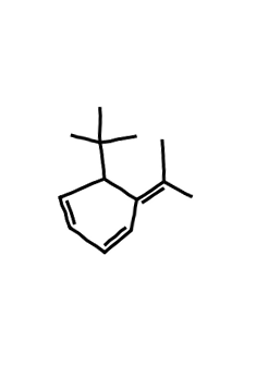 CC(C)=C1C=CC=CC1C(C)(C)C